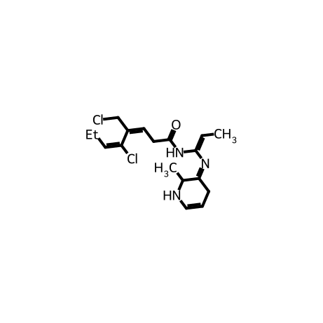 C/C=C(\N=C1\CC=CNC1C)NC(=O)C/C=C(CCl)\C(Cl)=C/CC